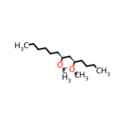 CCCCCC[C@@H](C[C@@H](CCCC)OC)OC